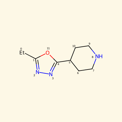 CCc1nnc(C2CCNCC2)o1